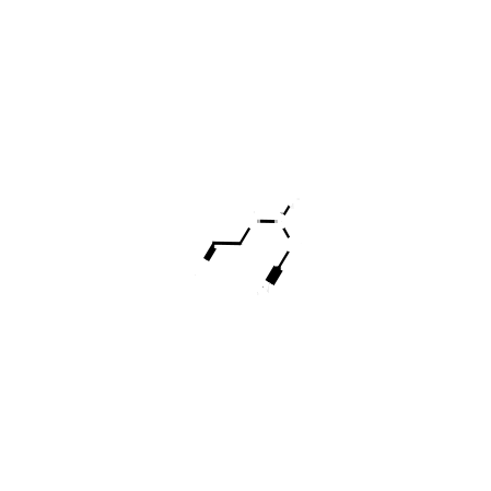 C=CCOB(O)OC#N